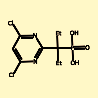 CCC(CC)(c1nc(Cl)cc(Cl)n1)P(=O)(O)O